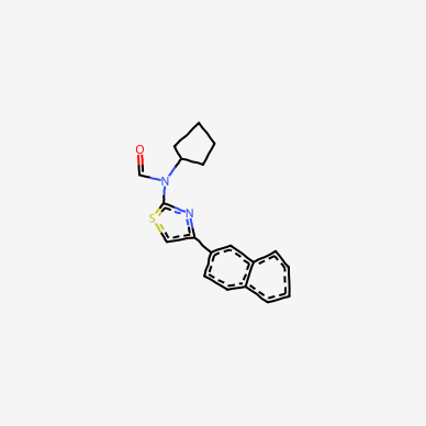 O=CN(c1nc(-c2ccc3ccccc3c2)cs1)C1CCCC1